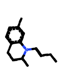 CCCCN1c2cc(C)ccc2CCC1C